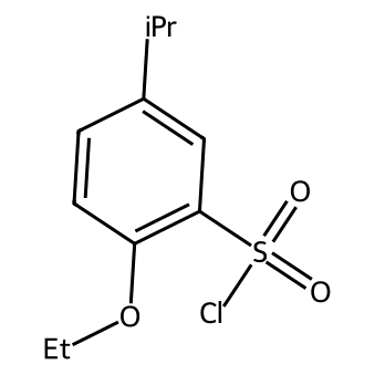 CCOc1ccc(C(C)C)cc1S(=O)(=O)Cl